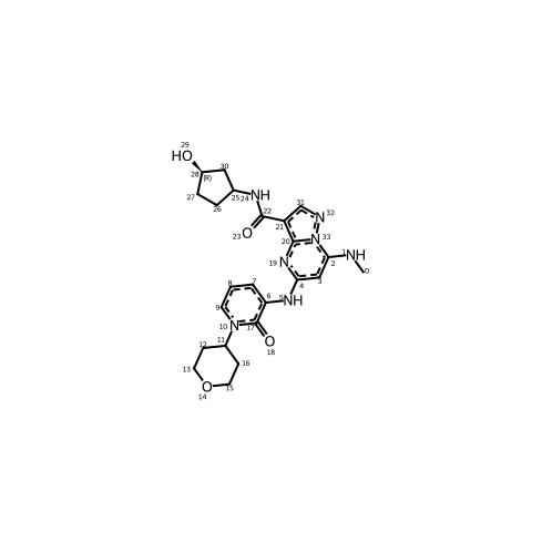 CNc1cc(Nc2cccn(C3CCOCC3)c2=O)nc2c(C(=O)NC3CC[C@@H](O)C3)cnn12